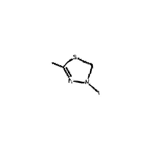 CC1=NN(I)CS1